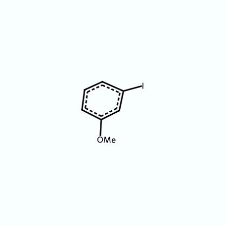 [CH2-][OH+]c1cccc(I)c1